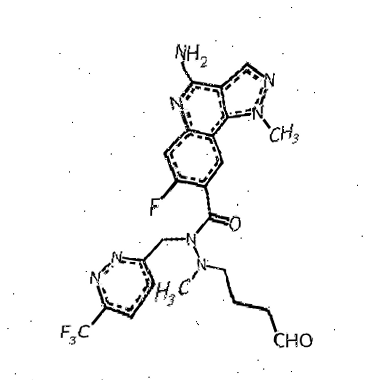 CN(CCCC=O)N(Cc1ccc(C(F)(F)F)nn1)C(=O)c1cc2c(cc1F)nc(N)c1cnn(C)c12